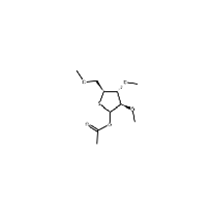 COC[C@@H]1SC(OC(C)=O)[C@H](OC)[C@H]1OC